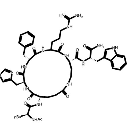 CCCC[C@H](NC(C)=O)C(=O)N[C@H]1CCC(=O)NCC[C@@H](C(=O)N[C@@H](Cc2c[nH]c3ccccc23)C(N)=O)NC(=O)C(CCCNC(=N)N)NC(=O)[C@@H](Cc2ccccc2)NC(=O)[C@H](Cc2c[nH]cn2)NC1=O